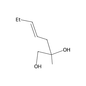 CC/C=C/CC(C)(O)CO